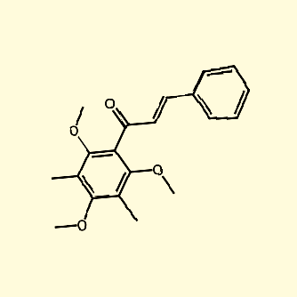 COc1c(C)c(OC)c(C(=O)C=Cc2ccccc2)c(OC)c1C